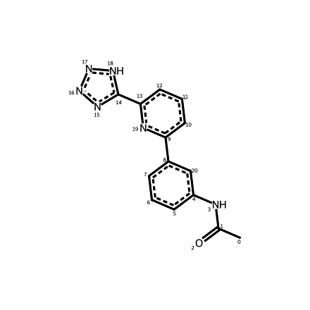 CC(=O)Nc1cccc(-c2c[c]cc(-c3nnn[nH]3)n2)c1